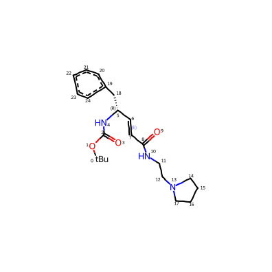 CC(C)(C)OC(=O)N[C@@H](/C=C/C(=O)NCCN1CCCC1)Cc1ccccc1